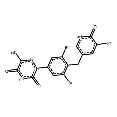 CC(C)c1cc(Cc2c(Br)cc(-n3nc(C#N)c(=O)[nH]c3=O)cc2Br)c[nH]c1=O